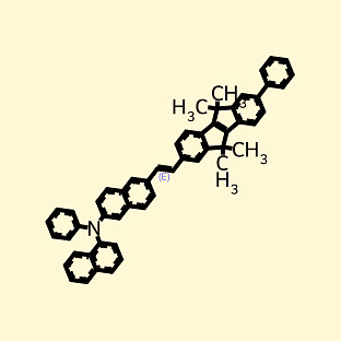 CC1(C)C2=C(c3ccc(/C=C/c4ccc5cc(N(c6ccccc6)c6cccc7ccccc67)ccc5c4)cc31)C(C)(C)c1cc(-c3ccccc3)ccc12